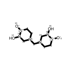 [O-][S+]1CCN(CN2CC[S+]([O-])N(O)C2)CN1O